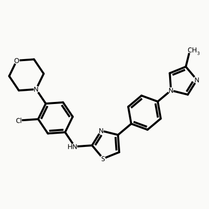 Cc1cn(-c2ccc(-c3csc(Nc4ccc(N5CCOCC5)c(Cl)c4)n3)cc2)cn1